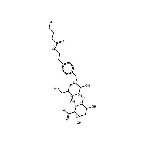 O=C(CCCS)NCCc1ccc(O[C@@H]2OC(CO)[C@H](O)[C@H](O[C@@H]3OC(C(=O)O)[C@@H](O)CC3O)C2O)cc1